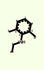 [CH2]CNc1c(C)cccc1C